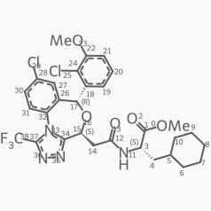 COC(=O)[C@H](CC1CCCCC1)NC(=O)C[C@@H]1O[C@@H](c2cccc(OC)c2Cl)c2cc(Cl)ccc2-n2c1nnc2C(F)(F)F